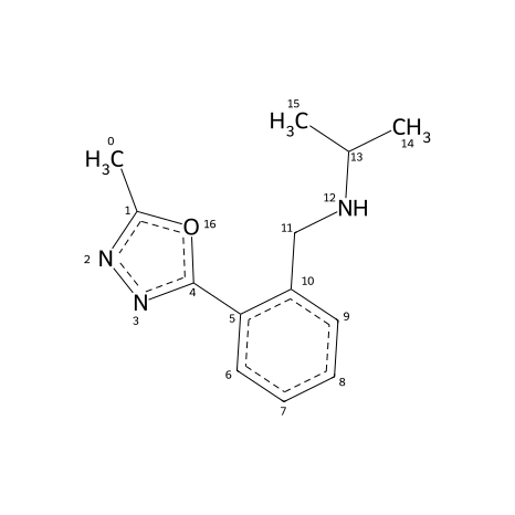 Cc1nnc(-c2ccccc2CNC(C)C)o1